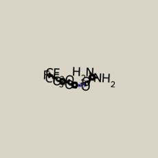 Nc1cc(N)cc(COC(=O)/C=C/c2ccc(OC(=O)c3ccc(OCCCC(F)(C(F)(F)F)C(F)(F)F)cc3)cc2)c1